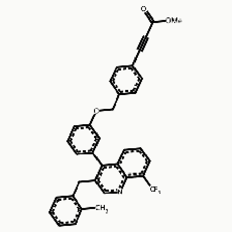 COC(=O)C#Cc1ccc(COc2cccc(-c3c(Cc4ccccc4C)cnc4c(C(F)(F)F)cccc34)c2)cc1